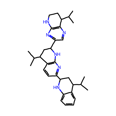 CC(C)C1CC(c2ccc3c(n2)NC(c2cnc4c(n2)NCCC4C(C)C)CC3C(C)C)Nc2ccccc21